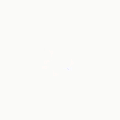 CC(C)(C)OC(=O)C1(B(O)O)CNOc2ccccc2C1